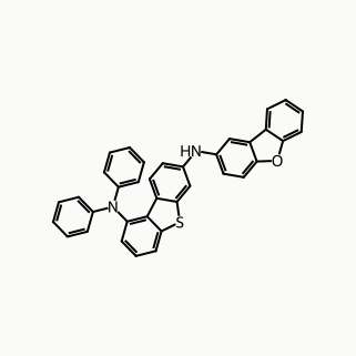 c1ccc(N(c2ccccc2)c2cccc3sc4cc(Nc5ccc6oc7ccccc7c6c5)ccc4c23)cc1